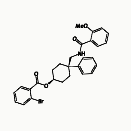 COc1ccccc1C(=O)NC[C@]1(c2ccccc2)CC[C@H](OC(=O)c2ccccc2Br)CC1